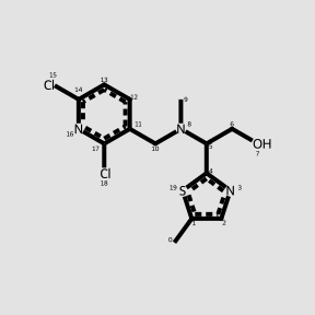 Cc1cnc(C(CO)N(C)Cc2ccc(Cl)nc2Cl)s1